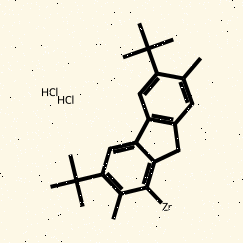 Cc1cc2c(cc1C(C)(C)C)-c1cc(C(C)(C)C)c(C)[c]([Zr])c1C2.Cl.Cl